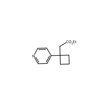 CCOC(=O)CC1(c2ccncc2)CCC1